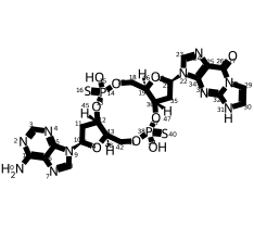 Nc1ncnc2c1ncn2[C@H]1C[C@@H]2OP(O)(=S)OC[C@H]3O[C@@H](n4cnc5c(=O)n6cc[nH]c6nc54)C[C@@H]3OP(O)(=S)OC[C@H]2O1